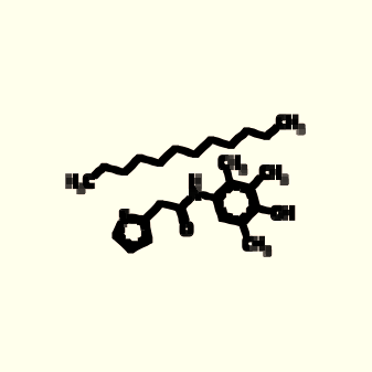 CCCCCCCCCCCC.Cc1cc(NC(=O)Cc2cccs2)c(C)c(C)c1O